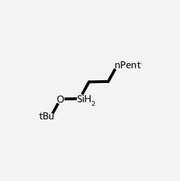 CCCCCCC[SiH2]OC(C)(C)C